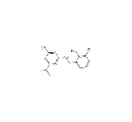 CN(C)c1nc(N)nc(NCc2cccc(O)c2O)n1